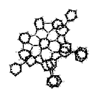 c1ccc(-c2ccc3c(c2)c2cc(-c4ccccc4)ccc2n3-c2c3c4c(c(-n5c6ccc(-c7ccccc7)cc6c6cc(-c7ccccc7)ccc65)c2-n2c5ccc(-c6ccccc6)cc5c5cc(-c6ccccc6)ccc52)B2c5ccccc5-c5cccc(c52)N4c2cccc4c2B3c2ccccc2-4)cc1